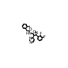 O=C(Cc1ccccc1I)Nc1onc(-c2cccc(F)c2F)c1-c1ccncn1